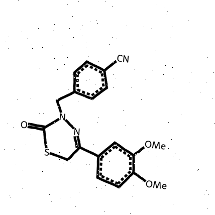 COc1ccc(C2=NN(Cc3ccc(C#N)cc3)C(=O)SC2)cc1OC